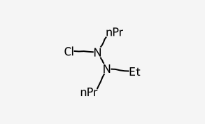 [CH2]CCN(CC)N(Cl)CCC